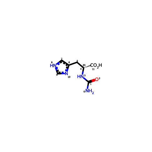 NC(=O)N[C@H](Cc1c[nH]cn1)C(=O)O